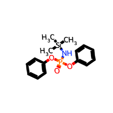 C[Si](C)(C)NP(=O)(Oc1ccccc1)Oc1ccccc1